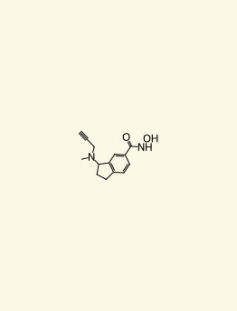 C#CCN(C)C1CCc2ccc(C(=O)NO)cc21